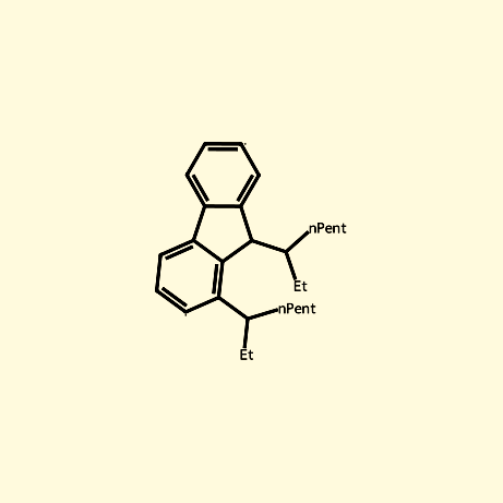 CCCCCC(CC)c1[c]ccc2c1C(C(CC)CCCCC)c1c[c]ccc1-2